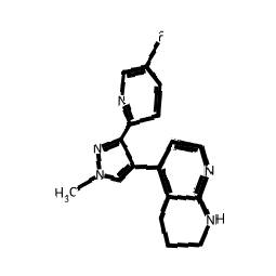 Cn1cc(-c2ccnc3c2CCCN3)c(-c2ccc(F)cn2)n1